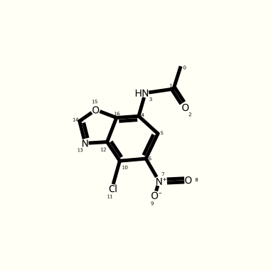 CC(=O)Nc1cc([N+](=O)[O-])c(Cl)c2n[c]oc12